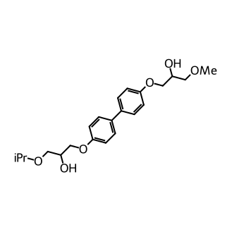 COCC(O)COc1ccc(-c2ccc(OCC(O)COC(C)C)cc2)cc1